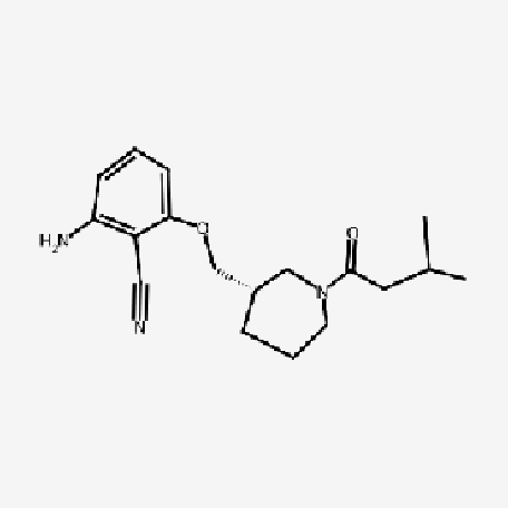 CC(C)CC(=O)N1CCC[C@H](COc2cccc(N)c2C#N)C1